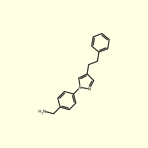 NCc1ccc(-n2cc(CCc3ccccc3)cn2)cc1